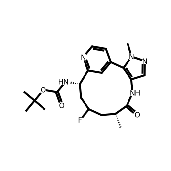 C[C@@H]1CC(F)C[C@H](NC(=O)OC(C)(C)C)c2cc(ccn2)-c2c(cnn2C)NC1=O